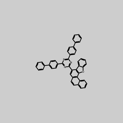 c1ccc(-c2ccc(-c3nc(-c4ccc(-c5ccccc5)cc4)nc(-c4cc5ccc6ccccc6c5c5oc6ccccc6c45)n3)cc2)cc1